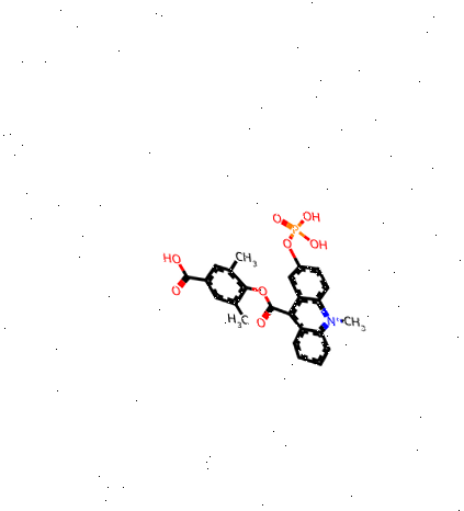 Cc1cc(C(=O)O)cc(C)c1OC(=O)c1c2ccccc2[n+](C)c2ccc(OP(=O)(O)O)cc12